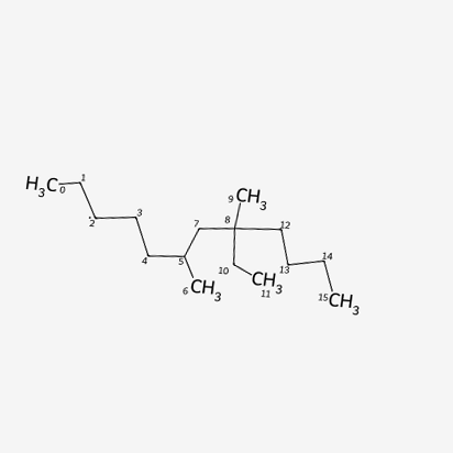 CC[CH]CCC(C)CC(C)(CC)CCCC